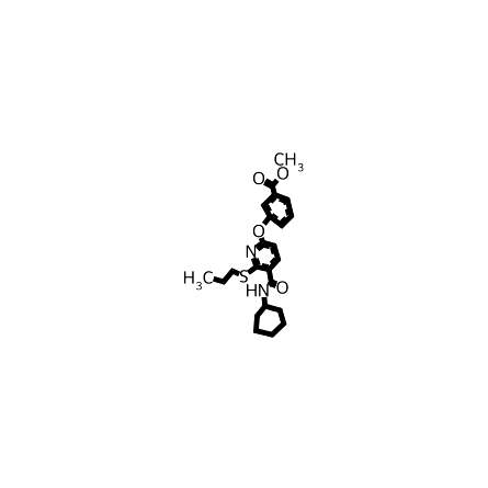 CCCSc1nc(Oc2cccc(C(=O)OC)c2)ccc1C(=O)NC1CCCCC1